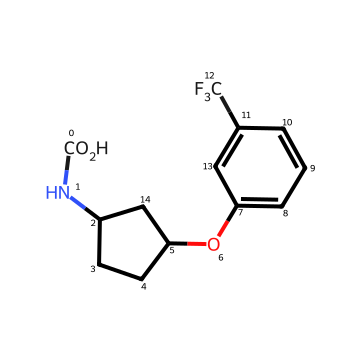 O=C(O)NC1CCC(Oc2cccc(C(F)(F)F)c2)C1